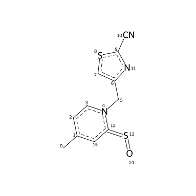 Cc1ccn(Cc2csc(C#N)n2)c(=S=O)c1